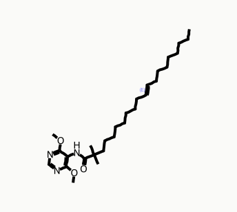 CCCCCCCC/C=C/CCCCCCCCC(C)(C)C(=O)Nc1c(OC)ncnc1OC